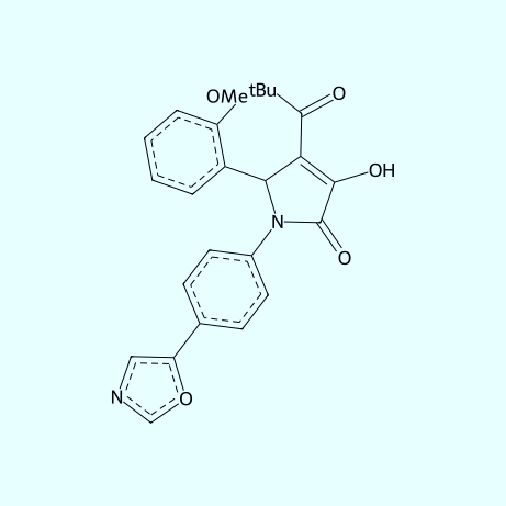 COc1ccccc1C1C(C(=O)C(C)(C)C)=C(O)C(=O)N1c1ccc(-c2cnco2)cc1